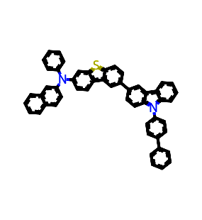 c1ccc(-c2ccc(-n3c4ccccc4c4cc(-c5ccc6sc7cc(N(c8ccccc8)c8ccc9ccccc9c8)ccc7c6c5)ccc43)cc2)cc1